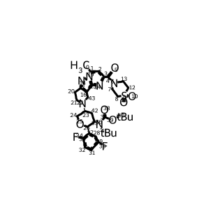 Cc1cc(C(=O)N2CCS(=O)(=O)CC2)nc2c3c(nn12)CCN([C@H]1CO[C@H](c2cc(F)ccc2F)[C@@H](N(C(=O)OC(C)(C)C)C(C)(C)C)C1)C3